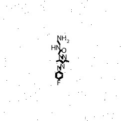 Cc1nn(CC(=O)NCCN)c(C)c1N=Nc1ccc(F)cc1